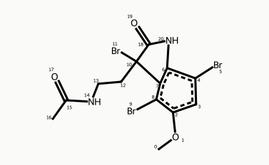 COc1cc(Br)c2c(c1Br)C(Br)(CCNC(C)=O)C(=O)N2